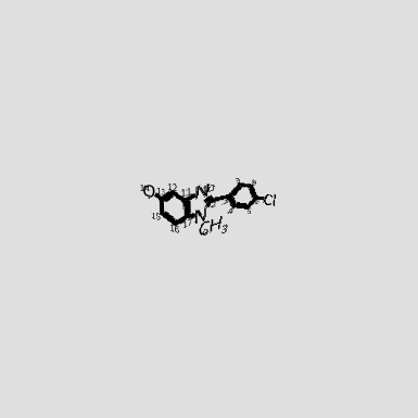 Cn1c(-c2ccc(Cl)cc2)nc2cc([O])ccc21